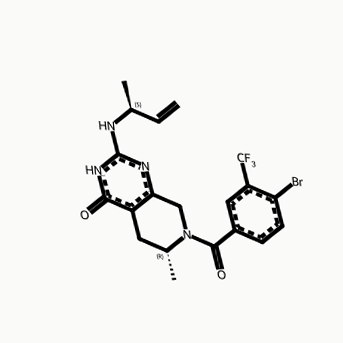 C=C[C@H](C)Nc1nc2c(c(=O)[nH]1)C[C@@H](C)N(C(=O)c1ccc(Br)c(C(F)(F)F)c1)C2